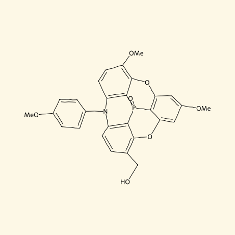 COc1ccc(N2c3ccc(CO)c4c3P3(=O)c5c(cc(OC)cc5Oc5c(OC)ccc2c53)O4)cc1